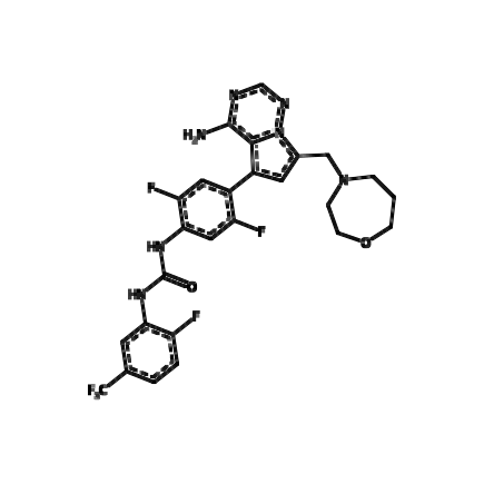 Nc1ncnn2c(CN3CCCOCC3)cc(-c3cc(F)c(NC(=O)Nc4cc(C(F)(F)F)ccc4F)cc3F)c12